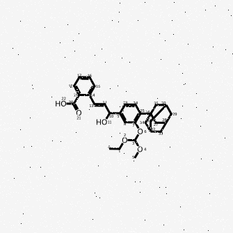 CCOC(OC)Oc1cc(C(O)C=Cc2ccccc2C(=O)O)ccc1C12CC3CC(CC(C3)C1)C2